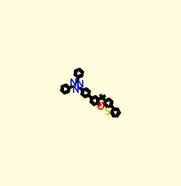 CC1(C)c2cc(-c3ccc(-c4nc(-c5ccccc5)nc(-c5ccccc5)n4)cc3)ccc2Oc2c1ccc1c2sc2ccccc21